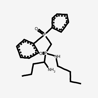 CCCCNP(=O)(CP(=O)(c1ccccc1)c1ccccc1)C(N)CCC